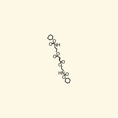 O=C(/C=C/C(=O)OCCCNC(=O)OC1CCCCC1)OCCCNC(=O)OC1CCCCC1